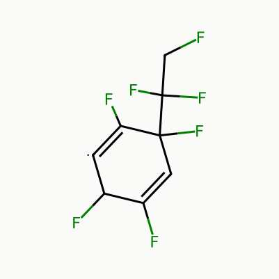 FCC(F)(F)C1(F)C=C(F)C(F)[C]=C1F